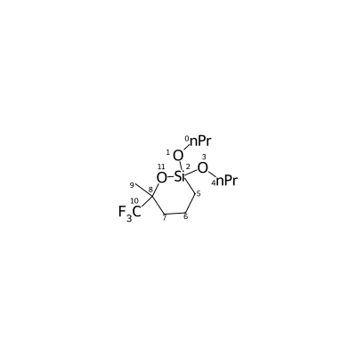 CCCO[Si]1(OCCC)CCCC(C)(C(F)(F)F)O1